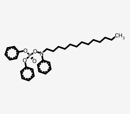 CCCCCCCCCCCCCN(OP(=O)(Oc1ccccc1)Oc1ccccc1)c1ccccc1